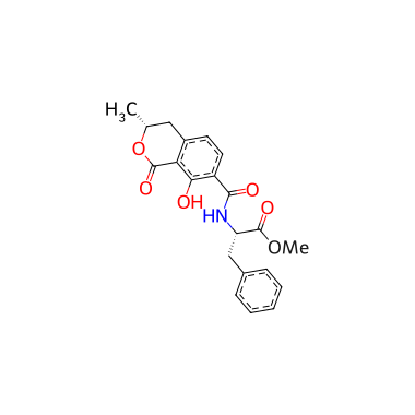 COC(=O)[C@H](Cc1ccccc1)NC(=O)c1ccc2c(c1O)C(=O)O[C@H](C)C2